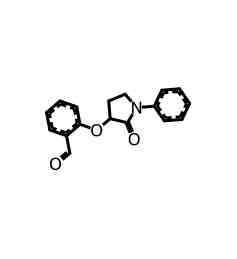 O=Cc1ccccc1OC1CCN(c2ccccc2)C1=O